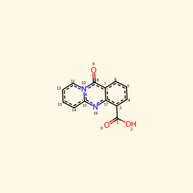 O=C(O)c1cccc2c(=O)n3ccccc3nc12